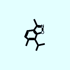 Cc1ccc2c(C)noc2c1C(C)C